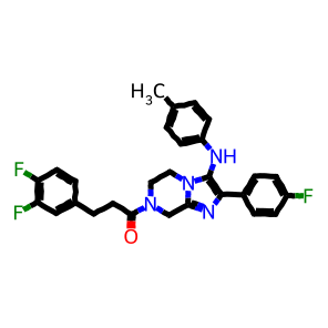 Cc1ccc(Nc2c(-c3ccc(F)cc3)nc3n2CCN(C(=O)CCc2ccc(F)c(F)c2)C3)cc1